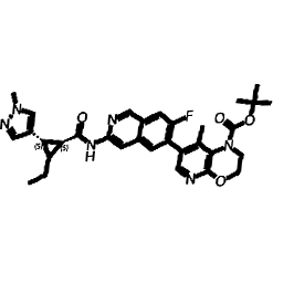 CCC1[C@H](C(=O)Nc2cc3cc(-c4cnc5c(c4C)N(C(=O)OC(C)(C)C)CCO5)c(F)cc3cn2)[C@H]1c1cnn(C)c1